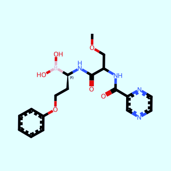 COCC(NC(=O)c1cnccn1)C(=O)N[C@@H](CCOc1ccccc1)B(O)O